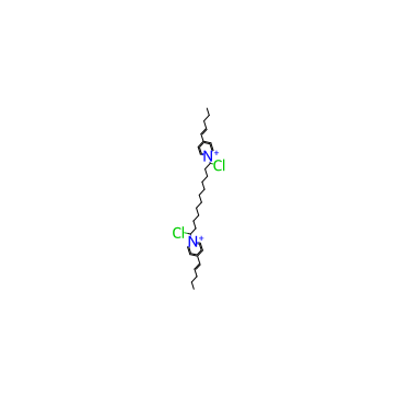 CCCC=Cc1cc[n+](C(Cl)CCCCCCCCCCC(Cl)[n+]2ccc(C=CCCC)cc2)cc1